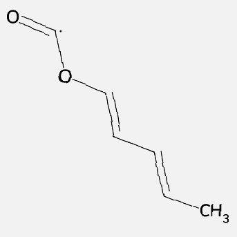 CC=CC=CO[C]=O